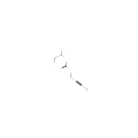 CC(CCl)OC(=O)OCC#CI